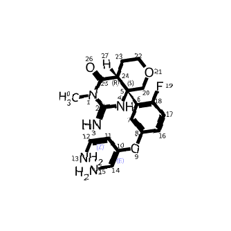 CN1C(=N)N[C@@]2(c3cc(OC(/C=C\N)=C/N)ccc3F)COCC[C@H]2C1=O